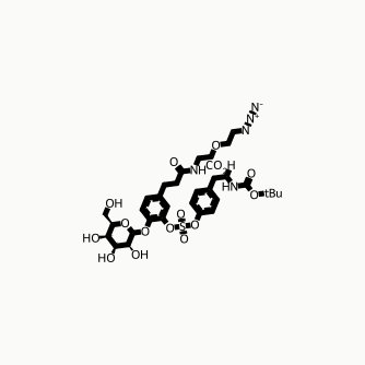 CC(C)(C)OC(=O)NC(Cc1ccc(OS(=O)(=O)Oc2cc(CCC(=O)NCCOCCN=[N+]=[N-])ccc2OC2O[C@H](CO)[C@H](O)[C@H](O)[C@H]2O)cc1)C(=O)O